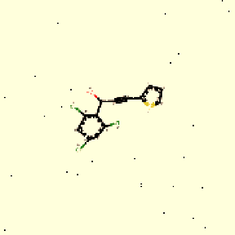 OC(C#Cc1cccs1)c1c(Cl)cc(Cl)cc1Cl